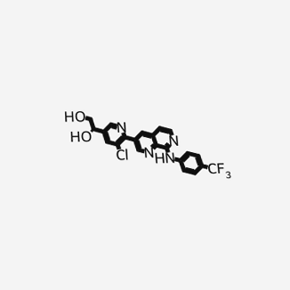 OC[C@H](O)c1cnc(-c2cnc3c(Nc4ccc(C(F)(F)F)cc4)nccc3c2)c(Cl)c1